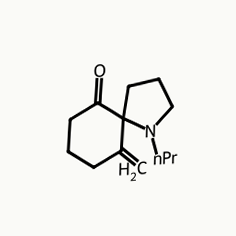 C=C1CCCC(=O)C12CCCN2CCC